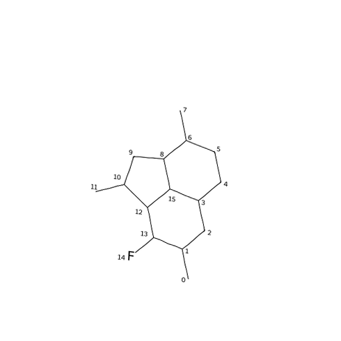 CC1CC2CCC(C)C3CC(C)C(C1F)C23